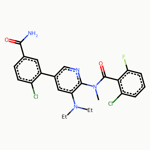 CCN(CC)c1cc(-c2cc(C(N)=O)ccc2Cl)cnc1N(C)C(=O)c1c(F)cccc1Cl